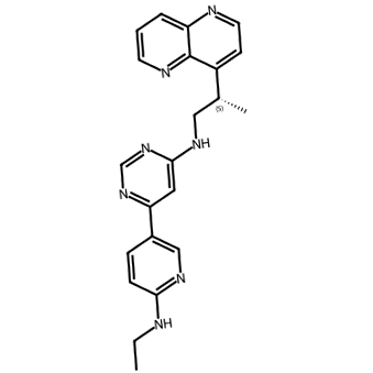 CCNc1ccc(-c2cc(NC[C@@H](C)c3ccnc4cccnc34)ncn2)cn1